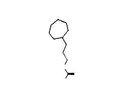 [O]C(=O)OCCCC1CCCCCC1